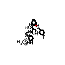 CS(=O)(=O)Nc1ccc2c(c1)S(=O)(=O)N=C(C1=C(O)[C@H]3C4C5C6C7C(C74)C(C65)[C@H]3N(Cc3ccc(F)cc3)C1=O)N2